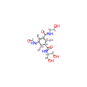 O=CNc1c(I)c(C(=O)NCCO)c(I)c(C(=O)NC(CO)CO)c1I